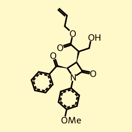 C=CCOC(=O)C(CO)[C@H]1C(=O)N(c2ccc(OC)cc2)[C@H]1C(=O)c1ccccc1